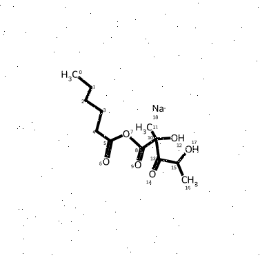 CCCCCC(=O)OC(=O)C(C)(O)C(=O)C(C)O.[Na]